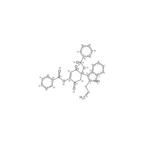 C=CCc1[nH]c2ccccc2c1C1(OC(=O)c2ccccc2)CC(=O)C(OC(=O)c2ccccc2)=CC1=O